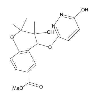 COC(=O)c1ccc2c(c1)C(Oc1ccc(O)nn1)C(C)(O)C(C)(C)O2